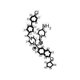 NC1CCN(C(=O)[C@H]2CN(Cc3ccc(-c4ccc(Cl)cc4)cc3)CCN2S(=O)(=O)c2ccc3cc(OC4CCCC4)ccc3c2)CC1